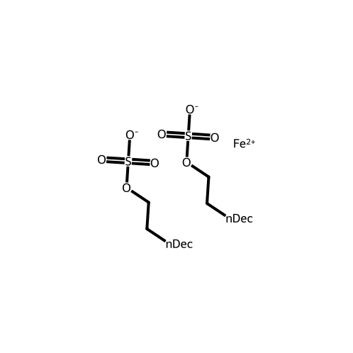 CCCCCCCCCCCCOS(=O)(=O)[O-].CCCCCCCCCCCCOS(=O)(=O)[O-].[Fe+2]